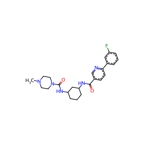 CN1CCN(C(=O)NC2CCCC(NC(=O)c3ccc(-c4cccc(F)c4)nc3)C2)CC1